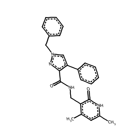 Cc1cc(C)c(CNC(=O)c2nn(Cc3ccccc3)cc2-c2ccccc2)c(=O)[nH]1